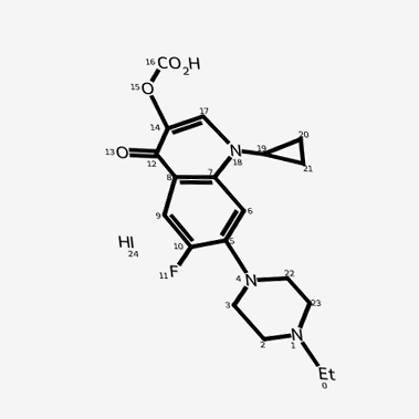 CCN1CCN(c2cc3c(cc2F)c(=O)c(OC(=O)O)cn3C2CC2)CC1.I